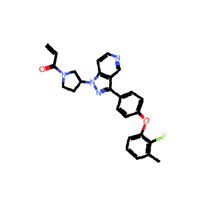 C=CC(=O)N1CCC(n2nc(-c3ccc(Oc4cccc(C)c4F)cc3)c3cnccc32)C1